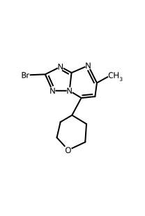 Cc1cc(C2CCOCC2)n2nc(Br)nc2n1